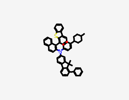 CC1CCC(c2ccc(N(c3ccc4c(c3)C(C)(C)c3c(-c5ccccc5)cccc3-4)c3ccc4ccccc4c3-c3cccc4c3sc3ccccc34)cc2)CC1